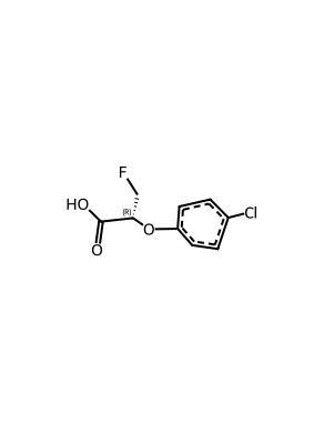 O=C(O)[C@H](CF)Oc1ccc(Cl)cc1